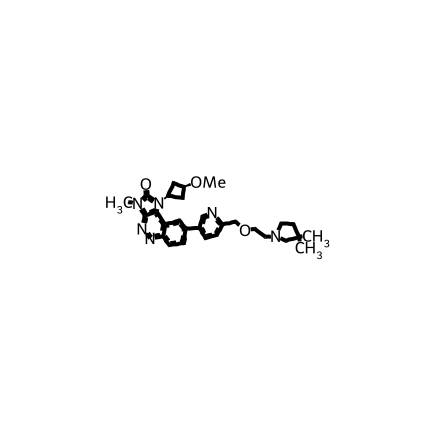 CO[C@H]1C[C@H](n2c(=O)n(C)c3nnc4ccc(-c5ccc(COCCN6CCC(C)(C)C6)nc5)cc4c32)C1